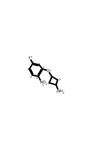 NC1CC(Oc2cc(F)ccc2[N+](=O)[O-])C1